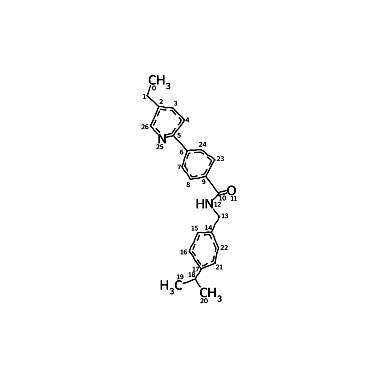 CCc1ccc(-c2ccc(C(=O)NCc3ccc(C(C)C)cc3)cc2)nc1